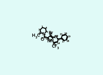 CC1CCCCN1C(=O)c1nn2c(C(F)(F)F)cc(-c3ccccc3)nc2c1Br